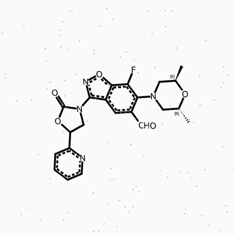 C[C@@H]1CN(c2c(C=O)cc3c(N4CC(c5ccccn5)OC4=O)noc3c2F)C[C@@H](C)O1